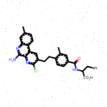 Cc1ccc2c(c1)nc(N)c1nc(Cl)c(CCc3ccc(C(=O)NC(CC(C)C)C(=O)O)cc3C)cc12